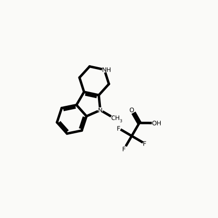 Cn1c2c(c3ccccc31)CCNC2.O=C(O)C(F)(F)F